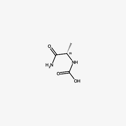 C[C@H](NC(=O)O)C(N)=O